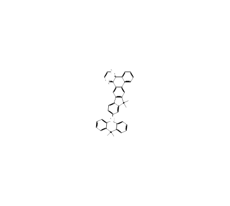 CC1(C)c2cc(N3c4ccccc4C(C)(C)c4ccccc43)ccc2-c2cc3c(cc21)c1ccccc1c1nccnc31